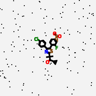 CC(C)(C(=O)C1CC1)c1nc(-c2ccc(Cl)cc2)c(-c2ccc([SH](=O)=O)cc2F)s1